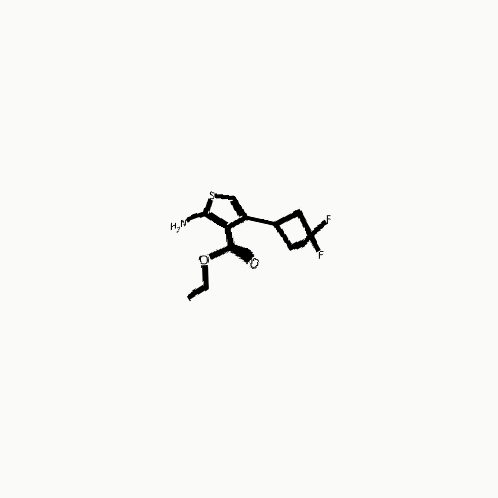 CCOC(=O)c1c(C2CC(F)(F)C2)csc1N